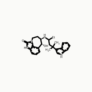 CCC(CC(C)(C)c1c[nH]c2ccccc12)N[C@@H]1CCn2c(=O)[nH]c3cccc(c32)[C@H]1O